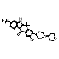 CC1(C)c2cc(N3CCN(C4CCOCC4)CC3)c(Br)cc2C(=O)c2c1[nH]c1cc(N)ccc21